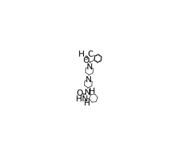 Cc1ccccc1C(=O)N1CCC(N2CCC(N3C(=O)N[C@H]4CCCC[C@@H]43)CC2)CC1